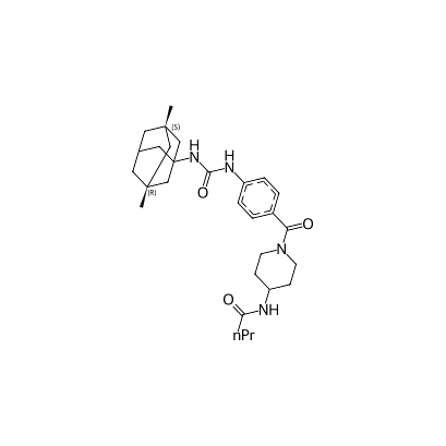 CCCC(=O)NC1CCN(C(=O)c2ccc(NC(=O)NC34CC5C[C@@](C)(C3)C[C@](C)(C5)C4)cc2)CC1